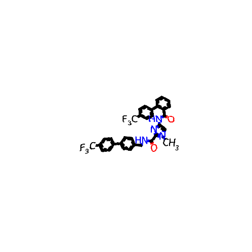 Cn1cc(NC(=O)c2ccccc2-c2ccc(C(F)(F)F)cc2)nc1C(=O)NCc1ccc(-c2ccc(C(F)(F)F)cc2)cc1